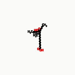 CCCCCCC(CCCCCC)(CC(CCCCCCCCCCCC(=O)O)C(C)C)C(=O)O